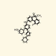 COc1cccc(F)c1-c1nc(Nc2cc(N3CCC[C@H](O)C3)c(-c3cnn(C4CCOCC4)c3)cn2)ccc1[N+](=O)[O-]